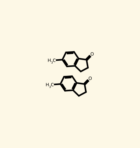 Cc1ccc2c(c1)CCC2=O.Cc1ccc2c(c1)CCC2=O